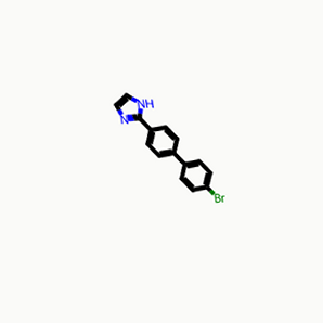 Brc1ccc(-c2ccc(-c3ncc[nH]3)cc2)cc1